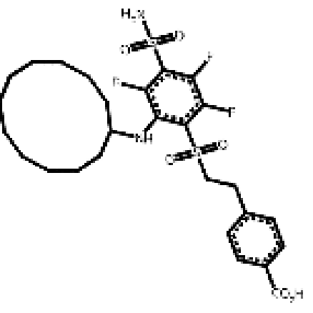 NS(=O)(=O)c1c(F)c(F)c(S(=O)(=O)CCc2ccc(C(=O)O)cc2)c(NC2CCCCCCCCCCC2)c1F